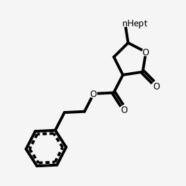 CCCCCCCC1CC(C(=O)OCCc2ccccc2)C(=O)O1